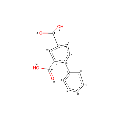 O=C(O)c1ccc(-c2ccccc2)c(C(=O)O)c1